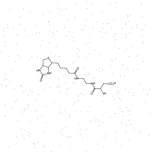 CC(C)C(CC(=O)O)C(=O)NCCNC(=O)CCCCC1SCC2NC(=O)NC21